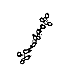 c1ccc(N(c2ccc(-c3ccc4c(c3)oc3ccc5c(ccc6oc7cc(-c8ccc(N(c9ccccc9)c9cccc%10c9oc9ccccc9%10)cc8)ccc7c65)c34)cc2)c2cccc3c2oc2ccccc23)cc1